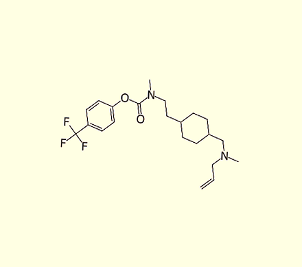 C=CCN(C)CC1CCC(CCN(C)C(=O)Oc2ccc(C(F)(F)F)cc2)CC1